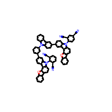 N#Cc1ccc(-n2c3ccc(-c4ccc5c(c4)c4ccccc4n5-c4cccc(-c5ccc6c7c8oc9ccccc9c8ccc7n(-c7c(C#N)cccc7C#N)c6c5)c4)cc3c3c4oc5ccccc5c4ccc32)c(C#N)c1